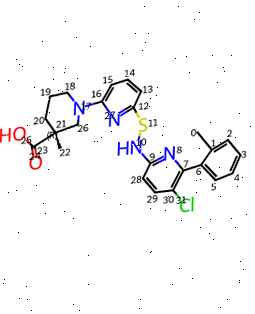 Cc1ccccc1-c1nc(NSc2cccc(N3CCC[C@@](C)(C(=O)O)C3)n2)ccc1Cl